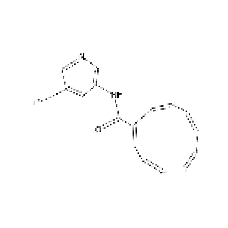 CC(C)c1cncc(NC(=O)c2ccccccccc2)c1